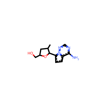 CC1CC(CO)OC1c1ccc2c(N)ncnn12